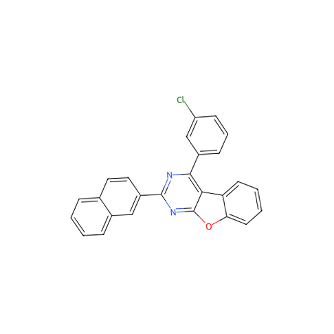 Clc1cccc(-c2nc(-c3ccc4ccccc4c3)nc3oc4ccccc4c23)c1